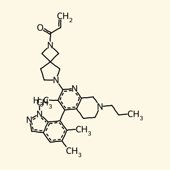 C=CC(=O)N1CC2(CCN(c3nc4c(c(-c5c(C)c(C)cc6cnn(C)c56)c3C)CCN(CCC)C4)C2)C1